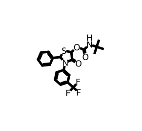 CC(C)(C)NC(=O)OC1SC(c2ccccc2)N(c2cccc(C(F)(F)F)c2)C1=O